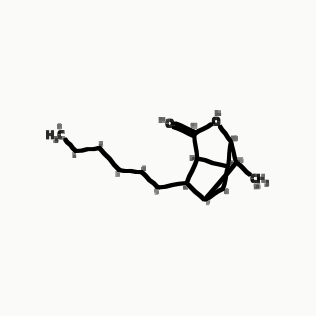 CCCCCCC1C2CC3C(OC(=O)C13)C2C